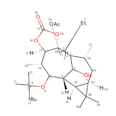 CCC1=C[C@]23C(O)[C@@H](C(O[Si](C)(C)C(C)(C)C)[C@H](C)[C@H]4OC(=O)O[C@]42[C@H]1OC(C)=O)[C@H]1[C@@H](C[C@H]3C)C1(C)C